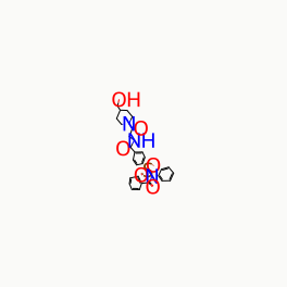 O=C(NCC(=O)N1CCC(CO)CC1)c1ccc(S(=O)(=O)N(C(=O)c2ccccc2)c2ccccc2)cc1